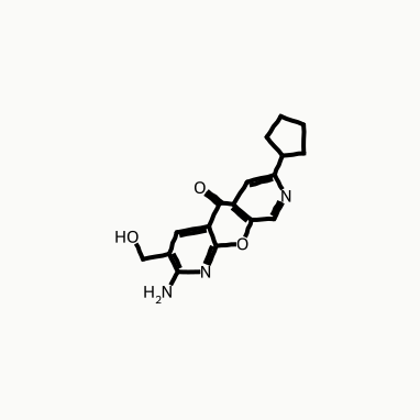 Nc1nc2oc3cnc(C4CCCC4)cc3c(=O)c2cc1CO